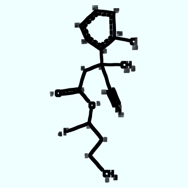 CCCC(F)OC(=O)CC(C)(C#N)c1ccccc1Cl